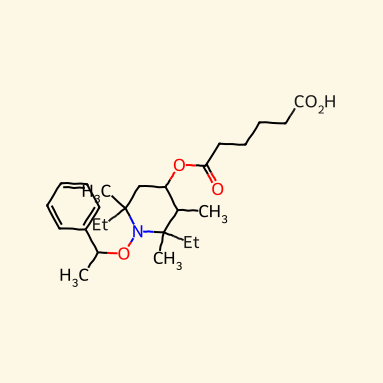 CCC1(C)CC(OC(=O)CCCCC(=O)O)C(C)C(C)(CC)N1OC(C)c1ccccc1